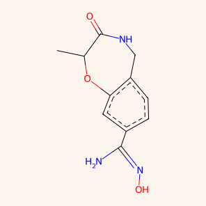 CC1Oc2cc(C(N)=NO)ccc2CNC1=O